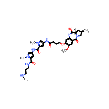 C=C1C[C@H]2C(O)=Nc3cc(OCCCC(=O)Nc4cc(C(=O)Nc5cc(C(=O)NCCCNC)n(C)c5)n(C)c4)c(OC)cc3C(=O)N2C1